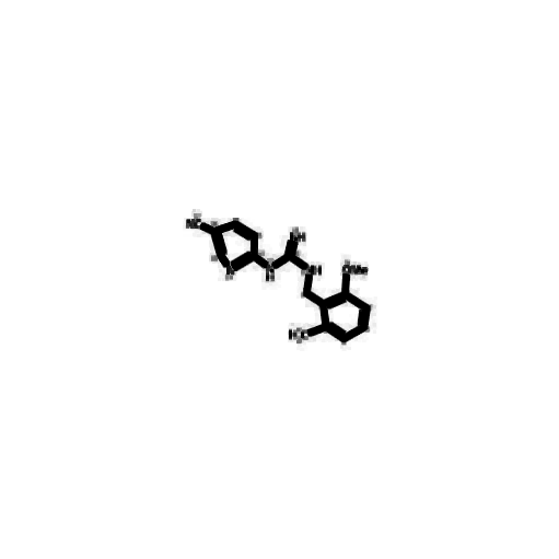 COc1cccc(C)c1CNC(=N)Nc1ccc(C#N)cn1